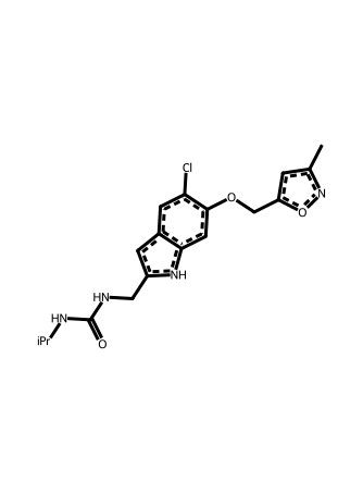 Cc1cc(COc2cc3[nH]c(CNC(=O)NC(C)C)cc3cc2Cl)on1